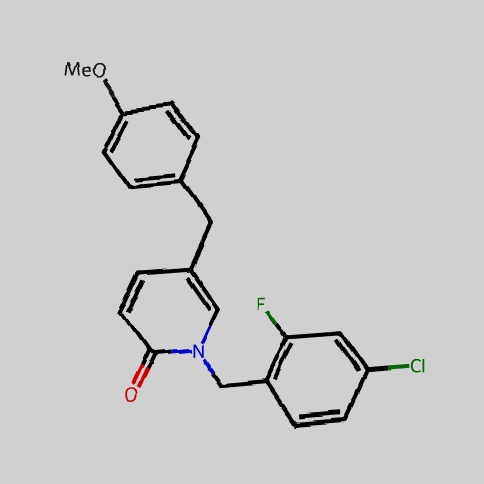 COc1ccc(Cc2ccc(=O)n(Cc3ccc(Cl)cc3F)c2)cc1